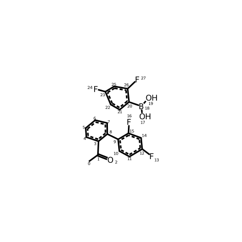 CC(=O)c1ccccc1-c1ccc(F)cc1F.OB(O)c1ccc(F)cc1F